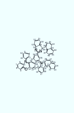 c1ccc(N2c3ccccc3Oc3cc(-c4cccc5c6c7ccccc7ccc6n(-c6cccc(-c7nc(-c8cccc9ccccc89)c8ccccc8n7)c6)c45)ccc32)cc1